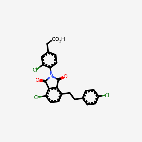 O=C(O)Cc1ccc(N2C(=O)c3c(Cl)ccc(CCc4ccc(Cl)cc4)c3C2=O)c(Cl)c1